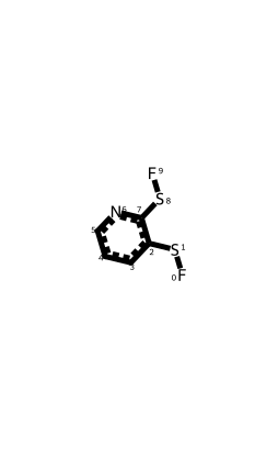 FSc1cccnc1SF